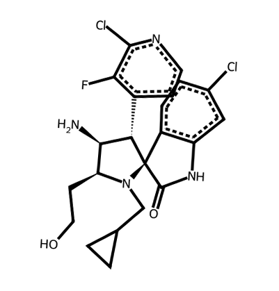 N[C@@H]1[C@H](CCO)N(CC2CC2)[C@@]2(C(=O)Nc3cc(Cl)ccc32)[C@H]1c1ccnc(Cl)c1F